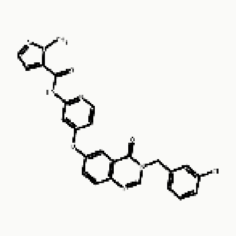 Cn1nccc1C(=O)Nc1cc(Oc2ccc3ncn(Cc4cccc(Cl)c4)c(=O)c3c2)ccn1